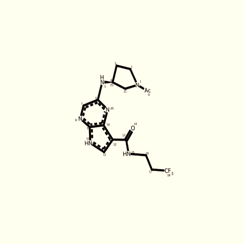 CC(=O)N1CC[C@H](Nc2cnc3[nH]cc(C(=O)NCCC(F)(F)F)c3n2)C1